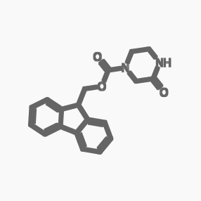 O=C1CN(C(=O)OCC2c3ccccc3-c3ccccc32)CCN1